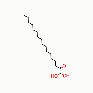 CCCCCCCCCCCCCCCC(=O)C(O)O